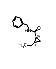 CC[C@@H]1C[C@@H]1C(=O)NCc1ccccc1